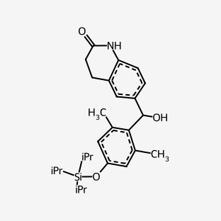 Cc1cc(O[Si](C(C)C)(C(C)C)C(C)C)cc(C)c1C(O)c1ccc2c(c1)CCC(=O)N2